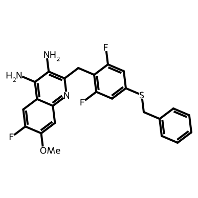 COc1cc2nc(Cc3c(F)cc(SCc4ccccc4)cc3F)c(N)c(N)c2cc1F